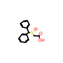 O=C(O)C[S@@+]([O-])C(c1ccccc1)c1ccccc1